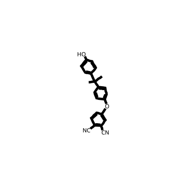 CC(C)(c1ccc(O)cc1)c1ccc(Oc2ccc(C#N)c(C#N)c2)cc1